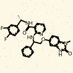 C[C@H](NC(=O)c1cccnc1NC(COc1ccc2c(c1)[nH]c(=O)n2C)c1ccccc1)c1ccc(F)c(F)c1